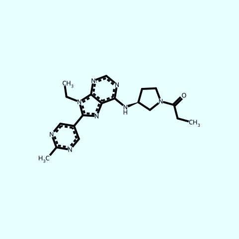 CCC(=O)N1CC[C@H](Nc2ncnc3c2nc(-c2cnc(C)nc2)n3CC)C1